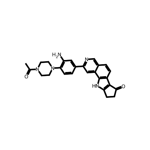 CC(=O)N1CCN(c2ccc(-c3cc4c(ccc5c6c([nH]c54)CCC6=O)cn3)cc2N)CC1